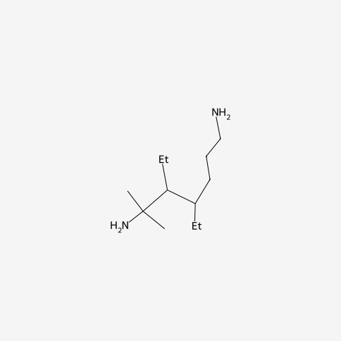 CCC(CCCN)C(CC)C(C)(C)N